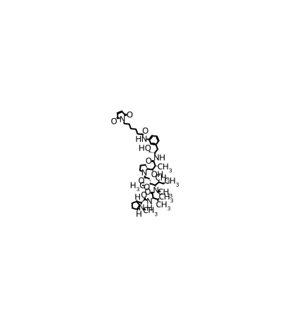 CC[C@H](C)[C@@H]([C@@H](CC(=O)N1CCC[C@H]1[C@H](O)[C@@H](C)C(=O)N[C@H](CO)Cc1cccc(NC(=O)CCCCCN2C(=O)C=CC2=O)c1)OC)N(C)C(=O)[C@@H](NC(=O)[C@@H]1[C@H]2CC[C@H](C2)N1C)C(C)C